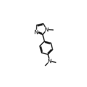 CN(C)c1ccc(-c2nccn2C)cc1